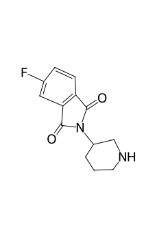 O=C1c2ccc(F)cc2C(=O)N1C1CCCNC1